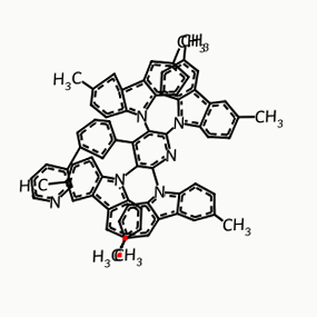 Cc1ccc2c(c1)c1cc(C)ccc1n2-c1nc(-n2c3ccc(C)cc3c3cc(C)ccc32)c(-n2c3ccc(C)cc3c3cc(C)ccc32)c(-c2cccc(-c3cccnc3)c2)c1-n1c2ccc(C)cc2c2cc(C)ccc21